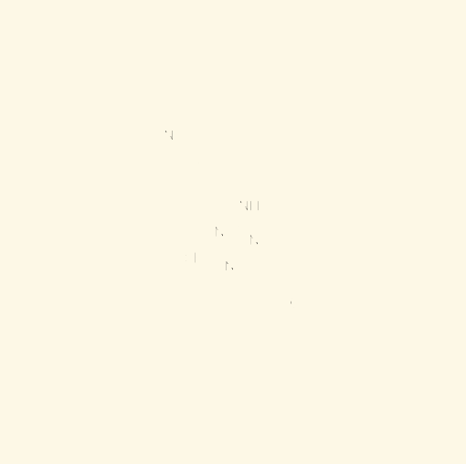 N#Cc1ccc(Nc2nc(Cl)nc(Cc3ccccc3Cl)n2)cc1